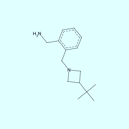 CC(C)(C)C1CN(Cc2ccccc2CN)C1